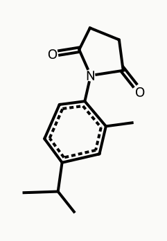 Cc1cc(C(C)C)ccc1N1C(=O)CCC1=O